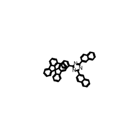 c1ccc2c(c1)-c1ccccc1C21c2ccccc2-c2cccc(-c3ccc(-c4nc(-c5ccc6ccccc6c5)nc(-c5ccc6ccccc6c5)n4)cc3)c21